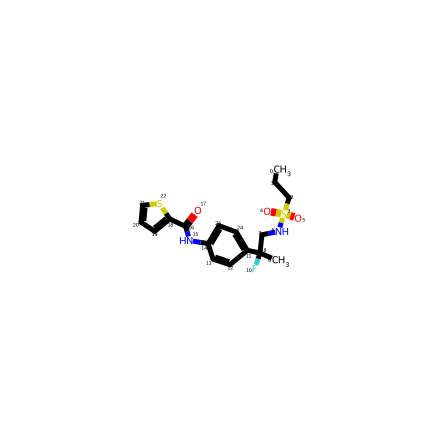 CCCS(=O)(=O)NCC(C)(F)c1ccc(NC(=O)c2[c]ccs2)cc1